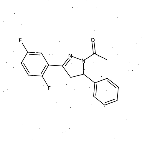 CC(=O)N1N=C(c2cc(F)ccc2F)CC1c1c[c]ccc1